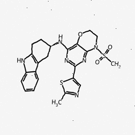 Cc1ncc(-c2nc(N[C@@H]3CCc4[nH]c5ccccc5c4C3)c3c(n2)N(S(C)(=O)=O)CCO3)s1